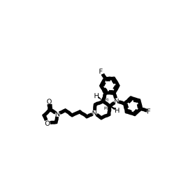 O=C1COCN1CCCCN1CC[C@@H]2[C@@H](C1)c1cc(F)ccc1N2c1ccc(F)cc1